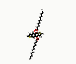 CCCCCCCCCCCCOc1c2cc3sc(C)cc3cc2c(OCCCCCCCCCCCC)c2sc(C)cc12